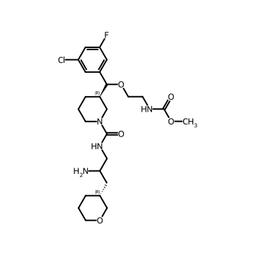 COC(=O)NCCOC(c1cc(F)cc(Cl)c1)[C@@H]1CCCN(C(=O)NCC(N)C[C@H]2CCCOC2)C1